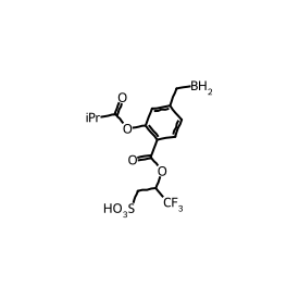 BCc1ccc(C(=O)OC(CS(=O)(=O)O)C(F)(F)F)c(OC(=O)C(C)C)c1